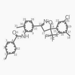 Cc1ccc(C(=O)Nc2cc(C3=NOC(c4cc(C)cc(Cl)c4)(C(F)(F)F)C3)ccc2C)cc1